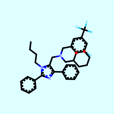 CCCCn1c(-c2ccccc2)nc(-c2ccccc2)c1CN(Cc1cc(F)cc(C(F)(F)F)c1)CC1CCCCC1